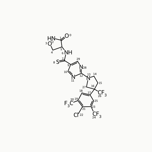 O=C1NOCC1NC(=S)c1cnc(N2CCC(c3cc(C(F)(F)F)c(Cl)c(C(F)(F)F)c3)(C(F)(F)F)C2)nc1